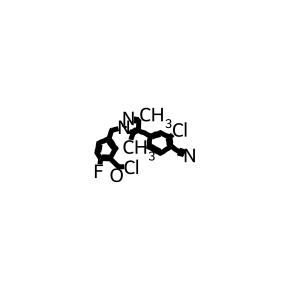 Cc1nn(Cc2ccc(F)c(C(=O)Cl)c2)c(C)c1-c1ccc(C#N)c(Cl)c1